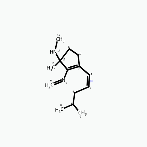 C=NC1=C(/C=C\CC(C)C)CCC1(C)NC